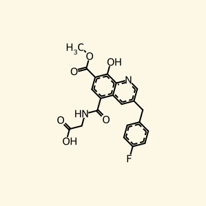 COC(=O)c1cc(C(=O)NCC(=O)O)c2cc(Cc3ccc(F)cc3)cnc2c1O